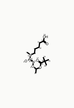 CC(ON=[N+]([O-])N(C)CCCCC(=O)O)OC(=O)C(C)(C)C